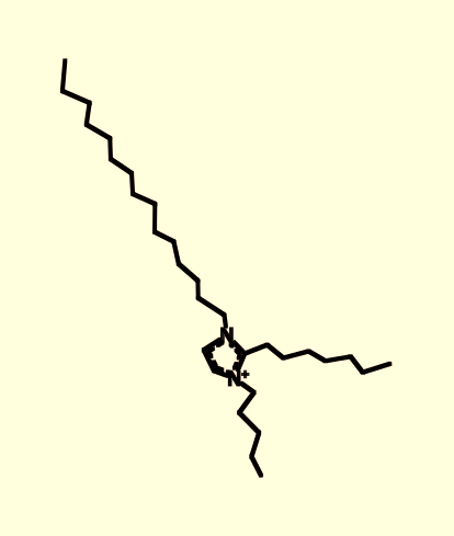 CCCCCCCCCCCCCCCn1cc[n+](CCCCC)c1CCCCCCC